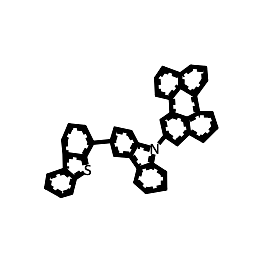 c1ccc2c(c1)sc1c(-c3ccc4c(c3)c3ccccc3n4-c3cc4cccc5c6cccc7cccc(c(c3)c45)c76)cccc12